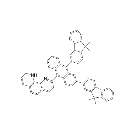 CC1(C)c2ccccc2-c2cc(-c3c4ccccc4c(-c4ccc5ccc6c(c5n4)NCC=C6)c4ccc(-c5ccc6c(c5)C(C)(C)c5ccccc5-6)cc34)ccc21